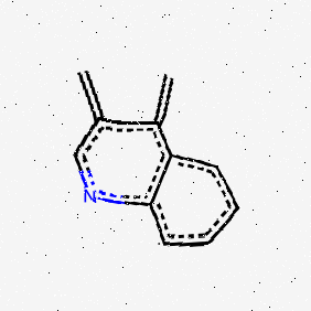 C=c1cnc2[c]cccc2c1=C